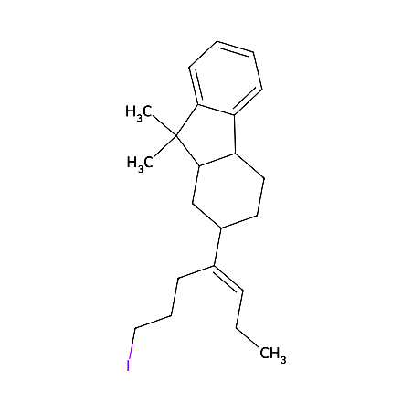 CC/C=C(\CCCI)C1CCC2c3ccccc3C(C)(C)C2C1